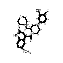 Cc1ccc2[nH]c(=O)cc(C(=O)N3CCN(c4ccc(Cl)c(Cl)c4)CC3CN3CCOCC3)c2c1